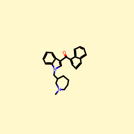 CN1CCCCC(Cn2cc(C(=O)c3cccc4ccccc34)c3ccccc32)C1